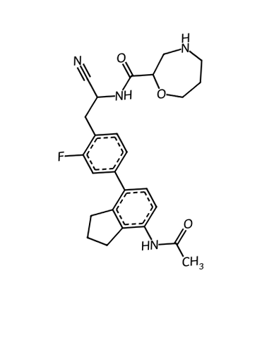 CC(=O)Nc1ccc(-c2ccc(CC(C#N)NC(=O)C3CNCCCO3)c(F)c2)c2c1CCC2